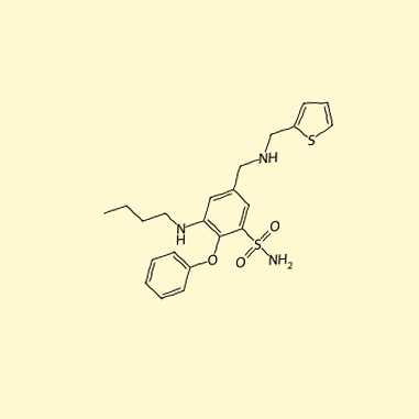 CCCCNc1cc(CNCc2cccs2)cc(S(N)(=O)=O)c1Oc1ccccc1